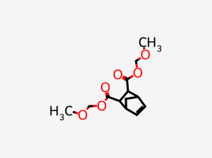 COCOC(=O)C1C2C=CC(C2)C1C(=O)OCOC